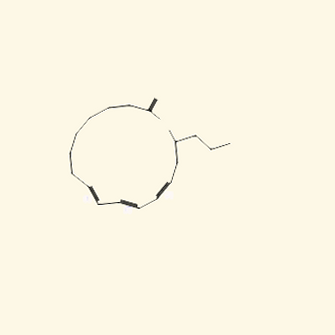 CCCC1C\C=C/C=C/C=C/CCCCCCC(=O)O1